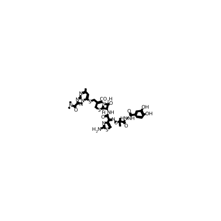 Cc1cc(SCC2=C(C(=O)O)N3C(=O)[C@@H](NC(=O)C(=NOC(C)(C)C(=O)NNC(=O)c4ccc(O)c(O)c4)c4csc(N)n4)[C@H]3SC2)n2nc(C(=O)N(C)C)nc2n1